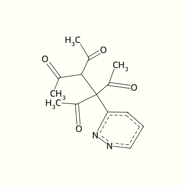 CC(=O)C(C(C)=O)C(C(C)=O)(C(C)=O)c1cccnn1